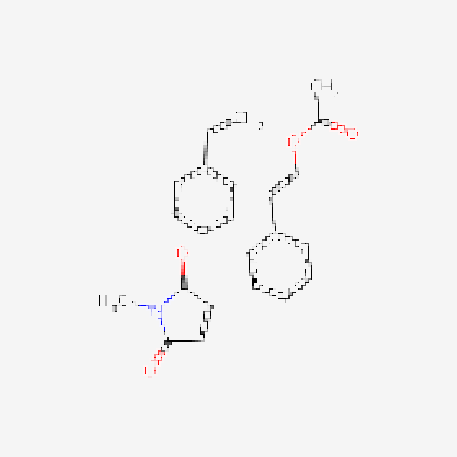 C=Cc1ccccc1.CC(=O)OC=Cc1ccccc1.CN1C(=O)C=CC1=O